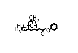 CCC(CCCCC(=O)COc1ccccc1)C(C)(C)CC(C)=O